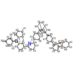 Cc1cc(C)c(B(c2cccc(-c3cccc(-c4ccc(C56CC7CC(C5)CC(c5ccc(-c8cccc9c8sc8ccccc89)cc5)(C7)C6)cc4)n3)c2)c2c(C)cc(C)cc2C)c(C)c1